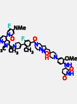 CNc1cc(=O)n(-c2ccnc3c2cc([C@H](C)N2CC=C(c4c(C)cc(C(=O)N5CCn6nc(CC7(O)CCN(c8ccc(NC9CCC(=O)NC9=O)c(OC)c8)CC7)cc6C5)cc4F)CC2)n3C)cc1F